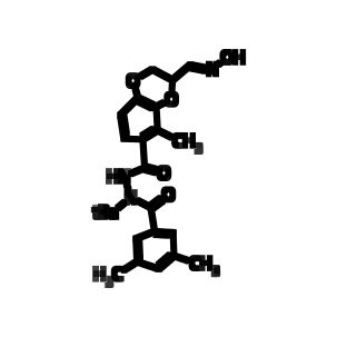 Cc1cc(C)cc(C(=O)N(NC(=O)c2ccc3c(c2C)OC(C=NO)CO3)C(C)(C)C)c1